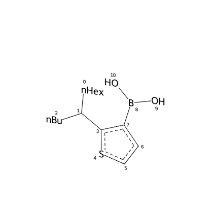 CCCCCCC(CCCC)c1sccc1B(O)O